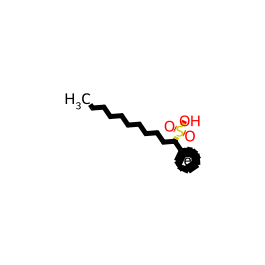 CCCCCCCCCCC([C]12[CH]3[CH]4[CH]5[CH]1[Fe]45321678[CH]2[CH]1[CH]6[CH]7[CH]28)S(=O)(=O)O